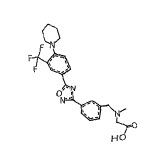 CN(CC(=O)O)Cc1cccc(-c2noc(-c3ccc(N4CCCCC4)c(C(F)(F)F)c3)n2)c1